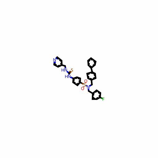 O=S(=O)(c1ccc(NC(=S)NCc2ccncc2)cc1)N(Cc1ccc(F)cc1)Cc1ccc(-c2ccccc2)cc1